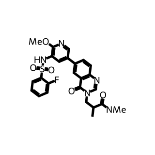 CNC(=O)C(C)Cn1cnc2ccc(-c3cnc(OC)c(NS(=O)(=O)c4ccccc4F)c3)cc2c1=O